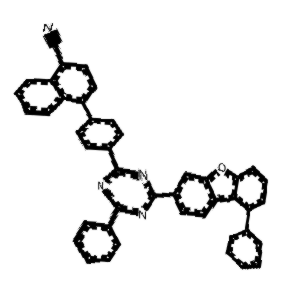 N#Cc1ccc(-c2ccc(-c3nc(-c4ccccc4)nc(-c4ccc5c(c4)oc4cccc(-c6ccccc6)c45)n3)cc2)c2ccccc12